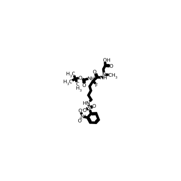 CN(CC(=O)O)NC(=O)C(F)(CCCCNS(=O)(=O)c1ccccc1[N+](=O)[O-])NC(=O)OC(C)(C)C